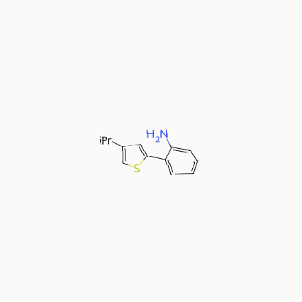 CC(C)c1csc(-c2ccccc2N)c1